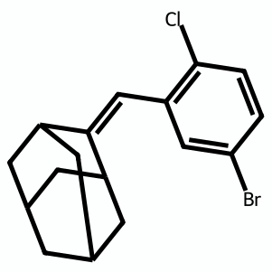 Clc1ccc(Br)cc1C=C1C2CC3CC(C2)CC1C3